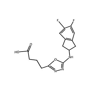 O=C(O)CCCc1nnc(NC2Cc3cc(F)c(F)cc3C2)o1